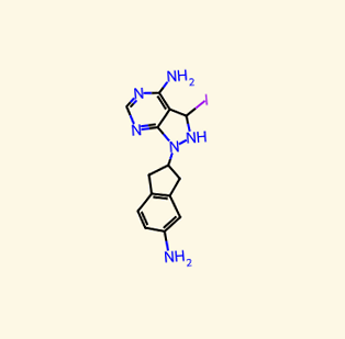 Nc1ccc2c(c1)CC(N1NC(I)c3c(N)ncnc31)C2